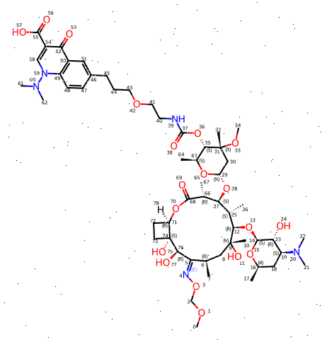 COCO/N=C1\[C@H](C)C[C@@](C)(O)[C@H](O[C@@H]2O[C@H](C)C[C@H](N(C)C)[C@H]2O)[C@@H](C)[C@H](O[C@H]2C[C@@](C)(OC)[C@@H](OC(=O)NCCOCCCc3ccc4c(c3)c(=O)c(C(=O)O)cn4N(C)C)[C@H](C)O2)[C@@H](C)C(=O)O[C@@H]2CC[C@]2(O)[C@@H]1O